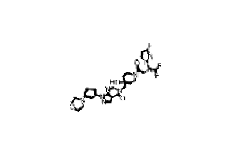 O=C(C[C@@H](C(F)F)n1ccc(F)n1)N1CCC(O)(Cn2cnc3c(cnn3-c3cccc(N4CCOCC4)c3)c2=O)CC1